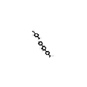 CC(O)c1ccc(-c2ccc(-c3ccc(OC(=O)c4ccc(C5CO5)c(F)c4)cc3)c(F)c2F)cc1